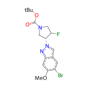 COc1cc2nn([C@@H]3CN(C(=O)OC(C)(C)C)CC3F)cc2cc1Br